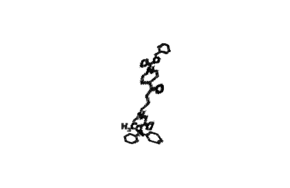 CCN(CCCC(=O)C1CCN(C(=O)OCc2ccccc2)CC1)CC(=O)ON(C1CCCCC1)C1CCCCC1